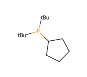 CC(C)(C)P(C1CCCC1)C(C)(C)C